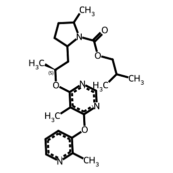 Cc1ncccc1Oc1ncnc(O[C@@H](C)CC2CCC(C)N2C(=O)OCC(C)C)c1C